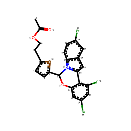 CC(=O)OCCc1ccc(C2Oc3cc(Br)cc(F)c3-c3cc4cc(Br)ccc4n32)s1